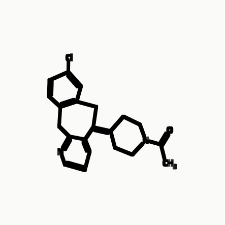 CC(=O)N1CCC(=C2Cc3cc(Cl)ccc3Cc3ncccc32)CC1